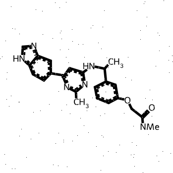 CNC(=O)COc1cccc(C(C)Nc2cc(-c3ccc4[nH]cnc4c3)nc(C)n2)c1